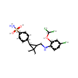 CC1(C)C(CNc2ccc(F)cc2OC(F)F)C1c1ccc(S(N)(=O)=O)cc1